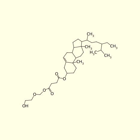 CCC(CCC(C)C1CCC2C3CC=C4CC(OC(=O)CCC(=O)OCOCCO)CCC4(C)C3CCC12C)C(C)C